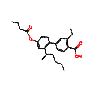 CCCC[C@@H](C)c1cc(OC(=O)CCC)ccc1-c1ccc(C(=O)O)c(CC)c1